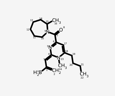 BC(=C)/C=C1/N=C(C(=O)N2CCCCCC2C)C=C(CCCC)N1C